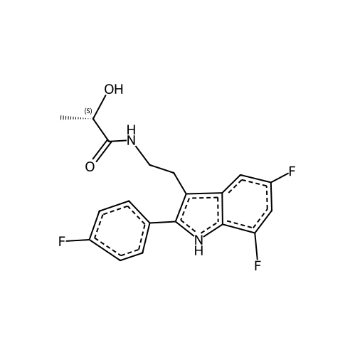 C[C@H](O)C(=O)NCCc1c(-c2ccc(F)cc2)[nH]c2c(F)cc(F)cc12